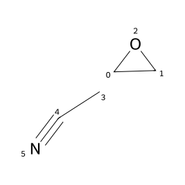 C1CO1.CC#N